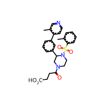 Cc1cnccc1-c1cccc(C2CN(C(=O)CCC(=O)O)CCN2S(=O)(=O)c2ccccc2C)c1